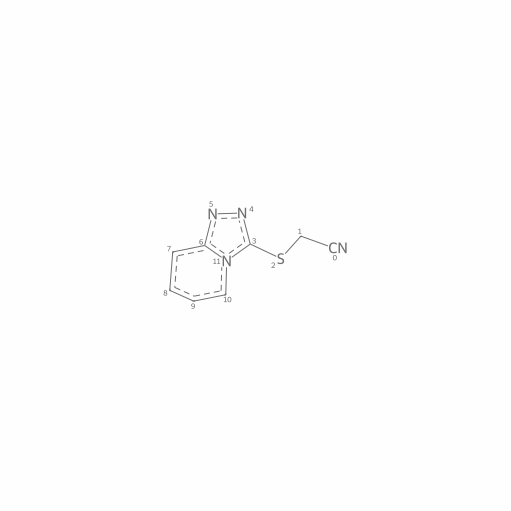 N#CCSc1nnc2ccccn12